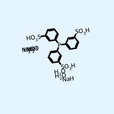 O.O.O.O.O=S(=O)(O)c1cccc(P(c2cccc(S(=O)(=O)O)c2)c2cccc(S(=O)(=O)O)c2)c1.[NaH].[NaH].[NaH]